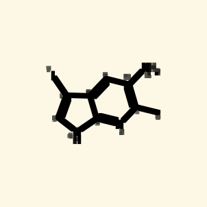 Cc1nc2[nH]cc(I)c2cc1N